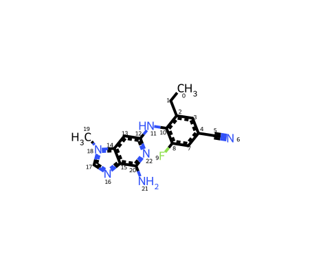 CCc1cc(C#N)cc(F)c1Nc1cc2c(ncn2C)c(N)n1